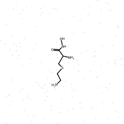 NCCSCC(N)C(=O)NO